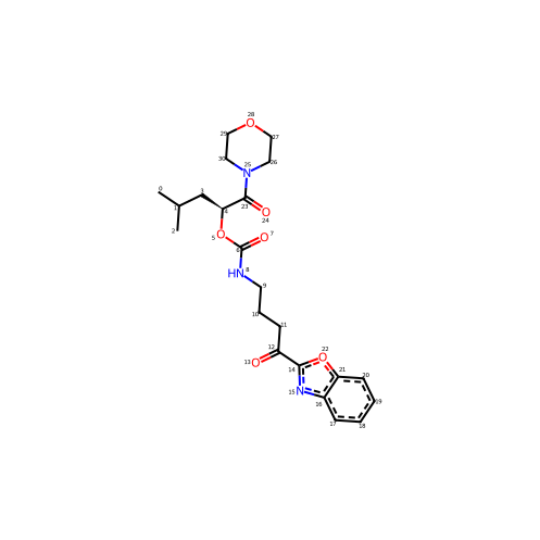 CC(C)C[C@H](OC(=O)NCCCC(=O)c1nc2ccccc2o1)C(=O)N1CCOCC1